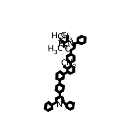 C=Cc1c(-c2ccc(C(=C=C(C)C(/C=C\C)=C/C)/C=C(\N)c3ccccc3)cc2)cccc1-c1cccc(-c2ccc(-c3cc(-c4ccccc4)nc(-c4ccccc4)c3)cc2)c1